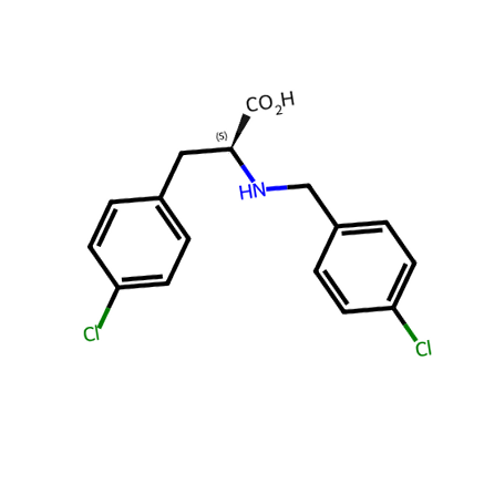 O=C(O)[C@H](Cc1ccc(Cl)cc1)NCc1ccc(Cl)cc1